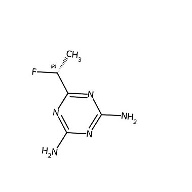 C[C@@H](F)c1nc(N)nc(N)n1